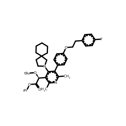 Cc1nc(C)c([C@H](OC(C)(C)C)C(=O)OC(C)C)c(N2CCC3(CCCCC3)C2)c1-c1ccc(OCCc2ccc(F)cc2)cc1